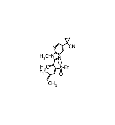 C=C(/C(=C\C(=C/C)C(F)(F)F)S(=O)(=O)CC)c1nc2cc(C3(C#N)CC3)cnc2n1C